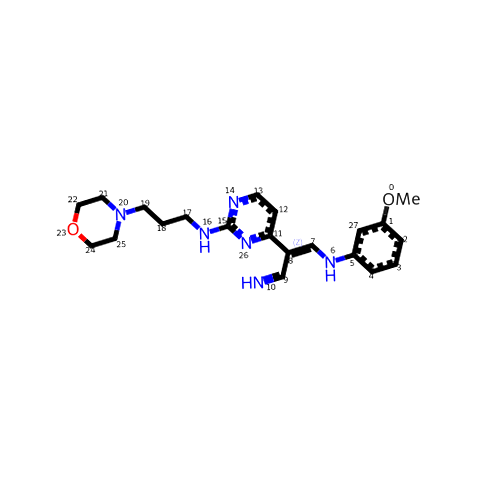 COc1cccc(N/C=C(\C=N)c2ccnc(NCCCN3CCOCC3)n2)c1